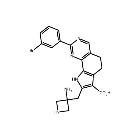 NC1(Cc2[nH]c3c(c2C(=O)O)CCc2cnc(-c4cccc(Br)c4)nc2-3)CNC1